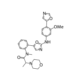 COc1cc(Nc2ncc(-c3ccccc3N(C)C(=O)C(C)N3CCOCC3)o2)ccc1-c1cnco1